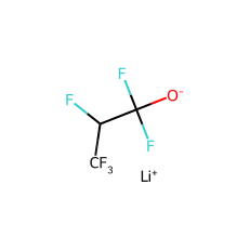 [Li+].[O-]C(F)(F)C(F)C(F)(F)F